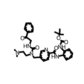 CN(C)CCN(Cc1ccc(C(=O)Nc2ccccc2NC(=O)OC(C)(C)C)nc1)C(=O)NCC(=O)c1ccccc1